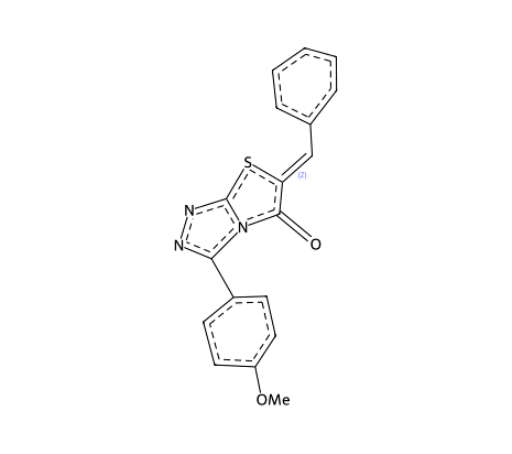 COc1ccc(-c2nnc3s/c(=C\c4ccccc4)c(=O)n23)cc1